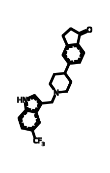 O=C1CCc2cc(C3CCN(Cc4c[nH]c5ccc(C(F)(F)F)cc45)CC3)ccc21